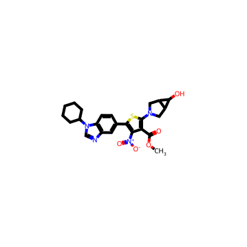 COC(=O)c1c(N2CC3C(O)C3C2)sc(-c2ccc3c(c2)ncn3C2CCCCC2)c1[N+](=O)[O-]